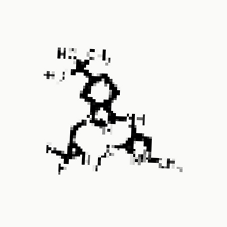 [CH2]C(C)(O)c1ccc2c(Nc3cn(C)nc3OC)nn(CC3CC3(F)F)c2c1